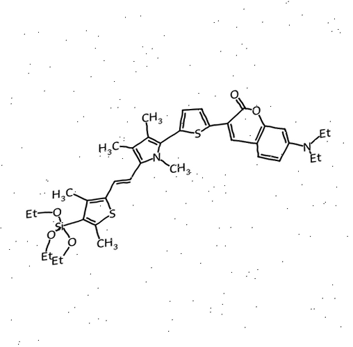 CCO[Si](OCC)(OCC)c1c(C)sc(/C=C/c2c(C)c(C)c(-c3ccc(-c4cc5ccc(N(CC)CC)cc5oc4=O)s3)n2C)c1C